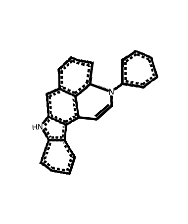 C1=CN(c2ccccc2)c2cccc3cc4[nH]c5ccccc5c4c1c23